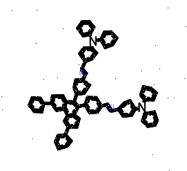 C(=C\c1ccc(N(c2ccccc2)c2ccccc2)cc1)/c1ccc(-c2c(-c3ccc(/C=C/c4ccc(N(c5ccccc5)c5ccccc5)cc4)cc3)c3ccc(-c4ccccc4)cc3c3cc(-c4ccccc4)ccc23)cc1